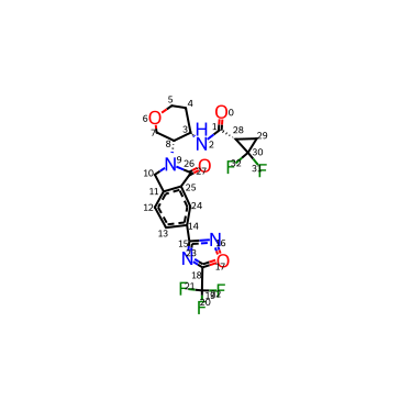 O=C(N[C@H]1CCOC[C@H]1N1Cc2ccc(-c3noc(C(F)(F)F)n3)cc2C1=O)[C@@H]1CC1(F)F